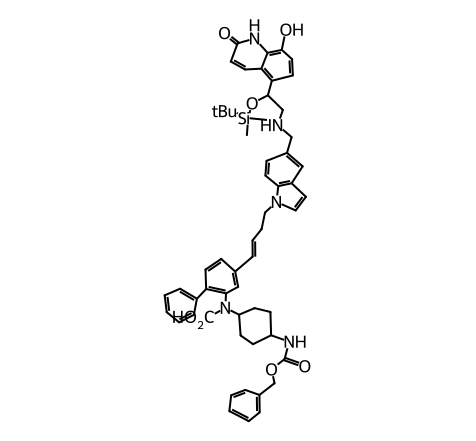 CC(C)(C)[Si](C)(C)OC(CNCc1ccc2c(ccn2CCC=Cc2ccc(-c3ccccc3)c(N(C(=O)O)C3CCC(NC(=O)OCc4ccccc4)CC3)c2)c1)c1ccc(O)c2[nH]c(=O)ccc12